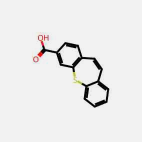 O=C(O)c1ccc2c(c1)Sc1ccccc1C=C2